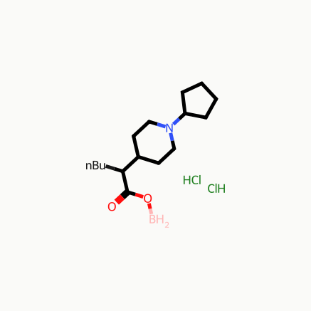 BOC(=O)C(CCCC)C1CCN(C2CCCC2)CC1.Cl.Cl